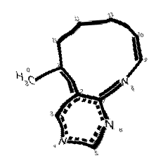 C\C1=c2/cncn/c2=N/C=C\CCC1